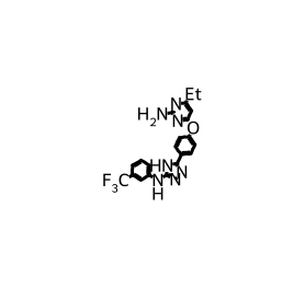 CCc1cc(Oc2ccc(-c3nnc(Nc4cccc(C(F)(F)F)c4)[nH]3)cc2)nc(N)n1